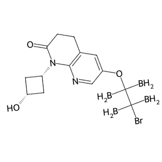 BC(B)(Br)C(B)(B)Oc1cnc2c(c1)CCC(=O)N2[C@H]1C[C@@H](O)C1